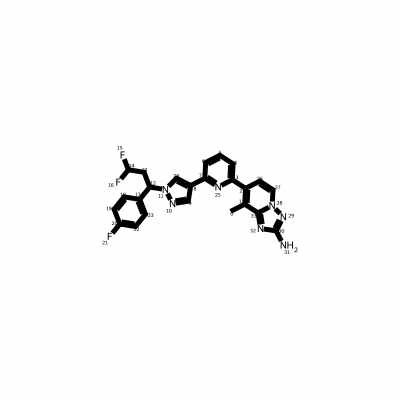 Cc1c(-c2cccc(-c3cnn(C(CC(F)F)c4ccc(F)cc4)c3)n2)ccn2nc(N)nc12